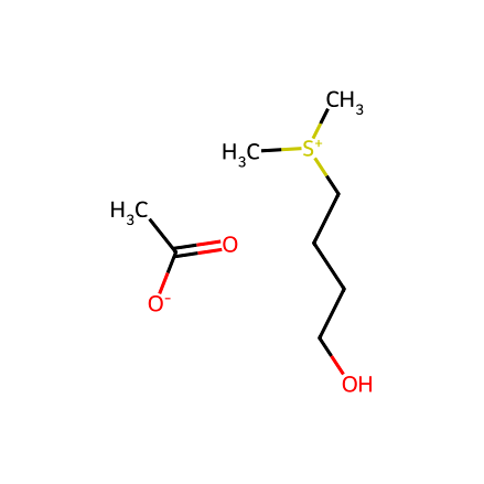 CC(=O)[O-].C[S+](C)CCCCO